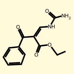 CCOC(=O)C(=CNC(N)=O)C(=O)c1ccccc1